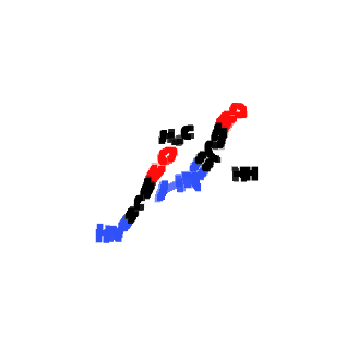 C.N=C=O.N=C=O.[HH]